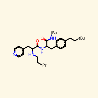 CC(C)CCNC(Cc1ccncc1)C(=O)NC(Cc1ccc(CCC(C)(C)C)cc1)C(=O)NC(C)(C)C